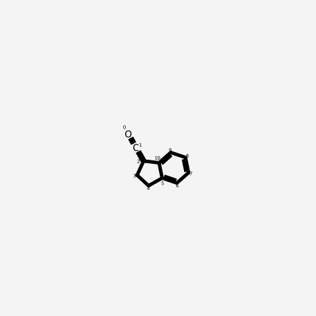 O=C=C1CCc2ccccc21